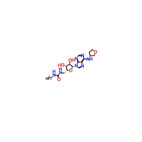 CCCNC(=O)NC[C@H]1O[C@@H](n2cnc3c(N[C@@H]4CCOC4)ncnc32)[C@H](O)[C@H]1O